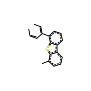 C/C=C\C(=C/C)c1cccc2c1sc1c(C)cccc12